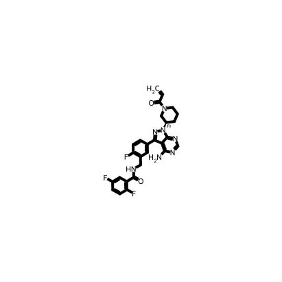 C=CC(=O)N1CCC[C@@H](n2nc(-c3ccc(F)c(CNC(=O)c4cc(F)ccc4F)c3)c3c(N)ncnc32)C1